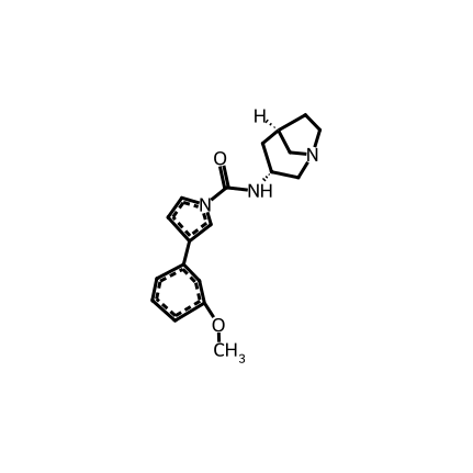 COc1cccc(-c2ccn(C(=O)N[C@@H]3C[C@H]4CCN(C4)C3)c2)c1